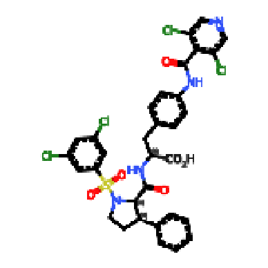 O=C(Nc1ccc(C[C@H](NC(=O)[C@H]2[C@@H](c3ccccc3)CCN2S(=O)(=O)c2cc(Cl)cc(Cl)c2)C(=O)O)cc1)c1c(Cl)cncc1Cl